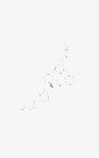 CN(N=Cc1ccc(O[PH](=S)N=P(c2ccccc2)(c2ccccc2)c2ccc(ON=[N+]=[N-])cc2)cc1)[PH](C)=S